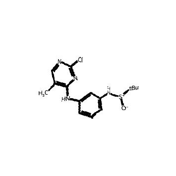 Cc1cnc(Cl)nc1Nc1cccc(N[S+]([O-])C(C)(C)C)c1